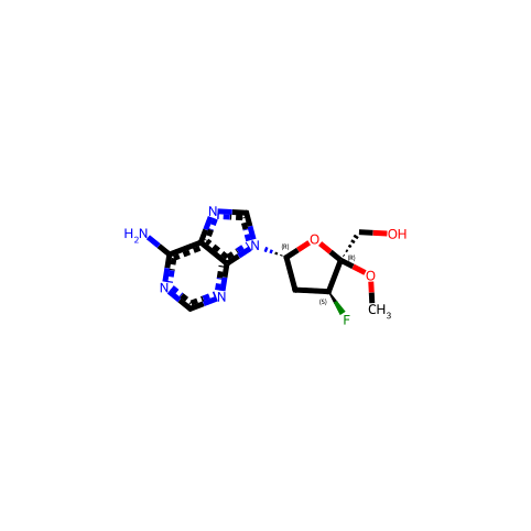 CO[C@]1(CO)O[C@@H](n2cnc3c(N)ncnc32)C[C@@H]1F